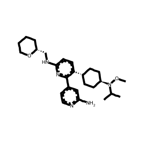 CON(C(C)C)[C@H]1CC[C@H](c2ccc(NC[C@H]3CCCCO3)nc2-c2ccnc(N)c2)CC1